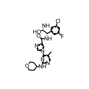 Cc1cnc(NC2CCOCC2)nc1-n1cnc(C(=O)N[C@@H](c2cc(F)cc(Cl)c2)[C@@H](N)O)c1